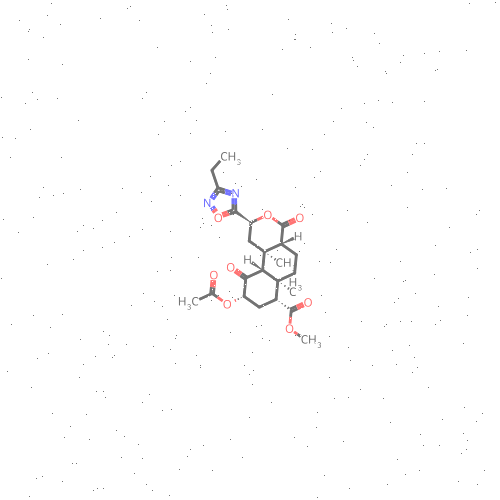 CCc1noc([C@@H]2C[C@]3(C)[C@H]4C(=O)[C@@H](OC(C)=O)C[C@@H](C(=O)OC)[C@]4(C)CC[C@H]3C(=O)O2)n1